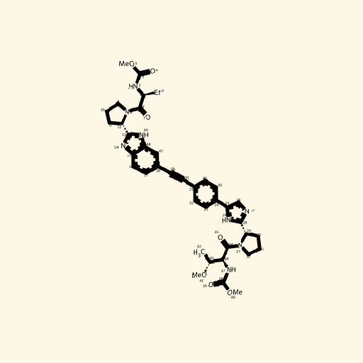 CC[C@H](NC(=O)OC)C(=O)N1CCC[C@H]1c1nc2ccc(C#Cc3ccc(-c4cnc([C@@H]5CCCN5C(=O)[C@@H](NC(=O)OC)[C@@H](C)OC)[nH]4)cc3)cc2[nH]1